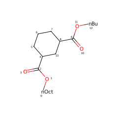 CCCCCCCCOC(=O)C1CCCC(C(=O)OCCCC)C1